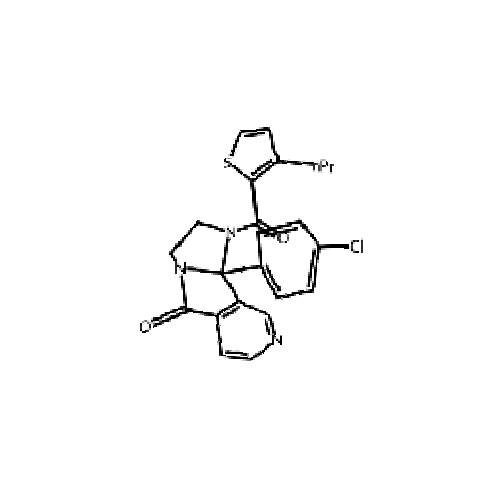 CCCc1ccsc1C(=O)N1CCN2C(=O)c3ccncc3C21c1ccc(Cl)cc1